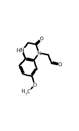 COc1ccc2c(c1)N(CC=O)C(=O)CN2